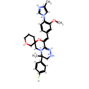 COc1cc(/C=C2\OC3(CCCOC3)CN3C2=NNCC3(C)c2ccc(F)cc2)ccc1-n1cnc(C)c1